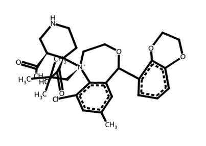 CC(=O)[C@H]1CNCC[C@]1(C(=O)O)[N@+]1(CC(C)(C)C)CCOC(c2cccc3c2OCCO3)c2cc(C)cc(Cl)c21